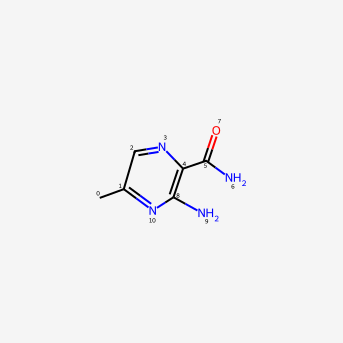 Cc1cnc(C(N)=O)c(N)n1